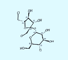 OC[C@H]1O[C@H](O[C@]2(CCl)O[C@H](CCl)[C@@H](O)[C@@H]2O)[C@H](O)[C@@H](O)[C@@H]1Cl